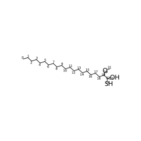 CCCCCCCCCCCCCCCCCCCC(OC)C(O)S